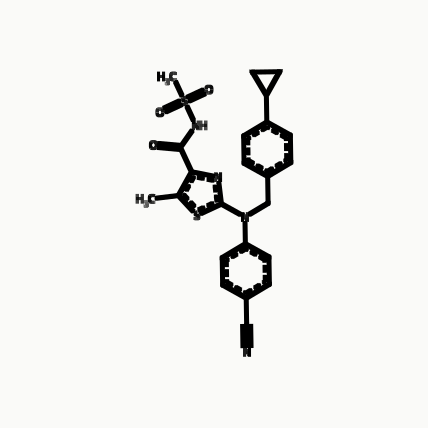 Cc1sc(N(Cc2ccc(C3CC3)cc2)c2ccc(C#N)cc2)nc1C(=O)NS(C)(=O)=O